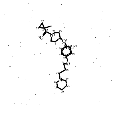 CC1(C(=O)N2CCC(Oc3ccc(OCCCN4CCCCC4)cc3)CC2)CC1.Cl